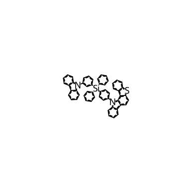 c1ccc([Si](c2ccccc2)(c2ccc(-n3c4ccccc4c4ccc5sc6ccccc6c5c43)cc2)c2cccc(-n3c4ccccc4c4ccccc43)c2)cc1